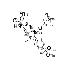 Cc1c(-c2ccc(C3(C)OCCO3)cc2)n(COCC[Si](C)(C)C)c2ncc(NC(=O)OC(C)(C)C)nc12